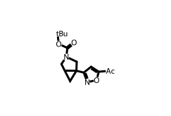 CC(=O)c1cc(C23CC2CN(C(=O)OC(C)(C)C)C3)no1